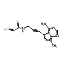 C=CC(=O)NCC#Cc1cn(C)c2ncnc(N)c12